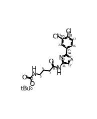 CC(C)(C)OC(=O)NCCCC(=O)Nc1csc(-c2ccc(Cl)c(Cl)c2)n1